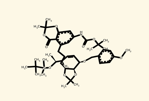 COc1ccc(CO[C@H](/C=C\[C@@H](C)[C@H](C)O[Si](C)(C)C(C)(C)C)[C@H]2OC(C)(C)O[C@H]2CCCc2cc(NC(=O)OC(C)(C)C)cc3c2C(=O)OC(C)(C)O3)cc1